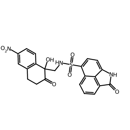 O=C1Nc2ccc(S(=O)(=O)NCC3(O)C(=O)CCc4cc([N+](=O)[O-])ccc43)c3cccc1c23